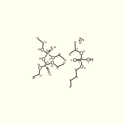 CCCCOP(=O)(O)OC(C)C.CCOP(=S)(OCC)OP(=S)(OCC)OCC.[Zn]